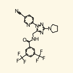 N#Cc1ccc(-n2nc(N3CCCC3)nc2CNC(=O)c2cc(C(F)(F)F)cc(C(F)(F)F)c2)nc1